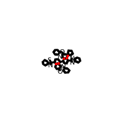 c1ccc(-n2c(-c3ccc(-c4ccc(-c5nc6ccccc6s5)cc4N4c5ccccc5Oc5ccccc54)c(N4c5ccccc5Oc5ccccc54)c3)nc3ccccc32)cc1